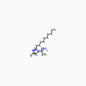 CCCCCCCCCCc1nc(C)cn1C(N)CC